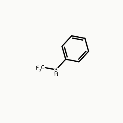 FC(F)(F)Bc1ccccc1